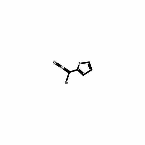 O=C=C(Br)c1cccs1